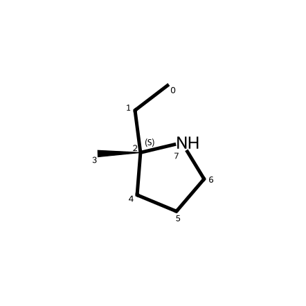 CC[C@@]1(C)CCCN1